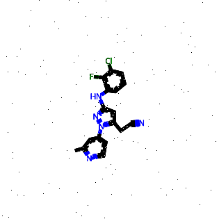 Cc1cc(-n2nc(Nc3cccc(Cl)c3F)cc2CC#N)ccn1